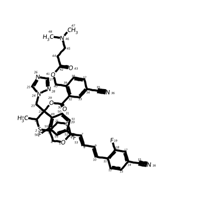 CC(SC1COC(C=CC=Cc2ccc(C#N)cc2F)OC1)C(Cn1cncn1)(OC(=O)c1cc(C#N)ccc1COC(=O)CCN(C)C)c1ccc(F)cc1F